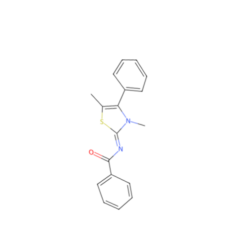 Cc1s/c(=N\C(=O)c2ccccc2)n(C)c1-c1ccccc1